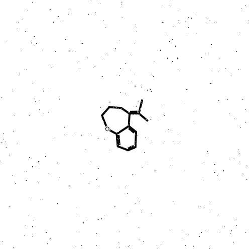 CC(C)=C1CCCOc2ccccc21